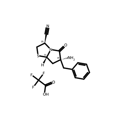 N#C[C@@H]1CS[C@H]2C[C@](N)(Cc3ccccc3)C(=O)N12.O=C(O)C(F)(F)F